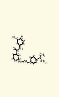 CC(C)c1ccc(CSNc2cc(C(=O)Nc3ccc(F)c(F)c3)ccn2)cc1